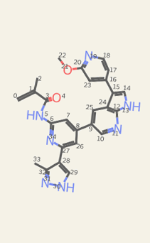 C=C(C)C(=O)Nc1cc(-c2cnc3[nH]cc(-c4ccnc(OC)c4)c3c2)cc(-c2c[nH]nc2C)n1